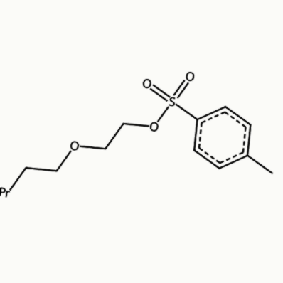 Cc1ccc(S(=O)(=O)OCCOCCC(C)C)cc1